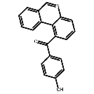 O=C(c1ccc(O)cc1)c1cccc2ncc3ccccc3c12